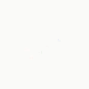 O=S(=O)(Cl)c1ccccc1Br.c1ccncc1